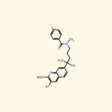 CCc1cc2ccc(C(C)(C#N)CCCN(C)C(=O)c3ccc(F)cc3)cc2nc1OC